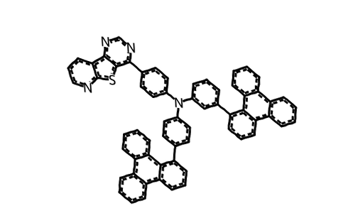 c1cc(-c2cccc3c4ccccc4c4ccccc4c23)cc(N(c2ccc(-c3ncnc4c3sc3ncccc34)cc2)c2ccc(-c3cccc4c5ccccc5c5ccccc5c34)cc2)c1